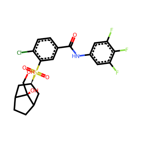 O=C(Nc1cc(F)c(F)c(F)c1)c1ccc(Cl)c(S(=O)(=O)[C@H]2CC3CCC(C2)[C@]3(O)CO)c1